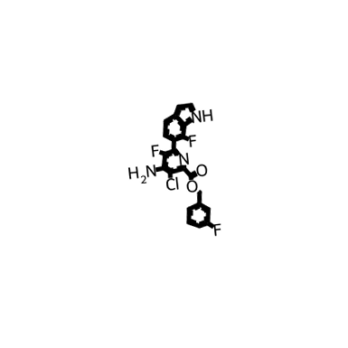 Nc1c(F)c(-c2ccc3cc[nH]c3c2F)nc(C(=O)OCc2cccc(F)c2)c1Cl